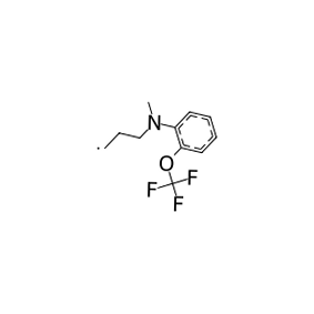 [CH2]CCN(C)c1ccccc1OC(F)(F)F